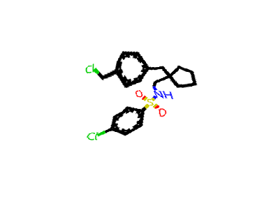 O=S(=O)(NCC1(Cc2ccc(CCl)cc2)CCCC1)c1ccc(Cl)cc1